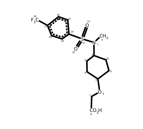 CN(C1CCC(OCC(=O)O)CC1)S(=O)(=O)c1ccc(C(F)(F)F)cc1